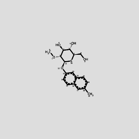 CO[C@@H]1[C@@H](O)[C@H](O)[C@@H](CO)S[C@H]1Oc1ccc2cc(C)ccc2c1